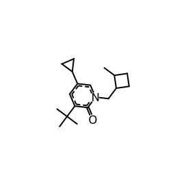 CC1CCC1Cn1cc(C2CC2)cc(C(C)(C)C)c1=O